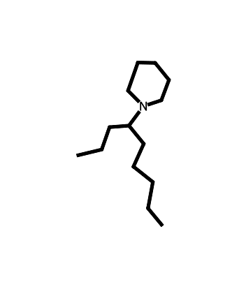 CCCCCC(CCC)N1CCCCC1